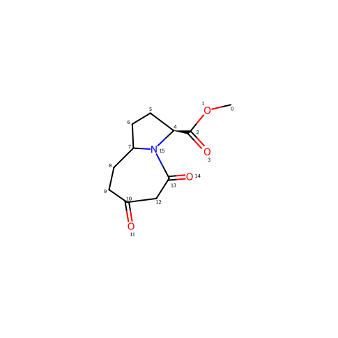 COC(=O)[C@@H]1CCC2CCC(=O)CC(=O)N21